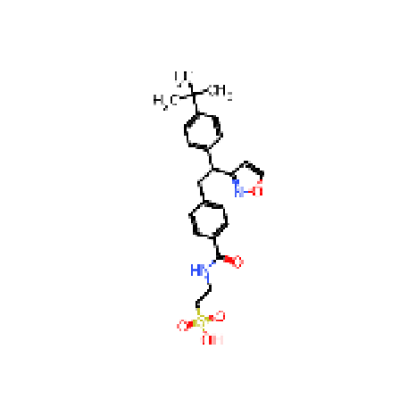 CC(C)(C)c1ccc(C(Cc2ccc(C(=O)NCCS(=O)(=O)O)cc2)c2ccon2)cc1